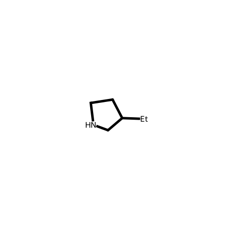 [CH2]CC1CCNC1